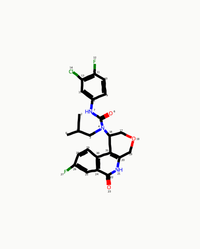 CC(C)CN(C(=O)Nc1ccc(F)c(Cl)c1)C1COCc2[nH]c(=O)c3cc(F)ccc3c21